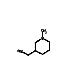 CN1CCCC(C[NH])C1